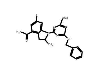 COc1nc(NCc2ccccc2)nc(N2c3cc(F)cc(C(N)=O)c3CC2C)n1